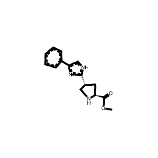 COC(=O)[C@@H]1C[C@@H](c2nc(-c3ccccc3)c[nH]2)CN1